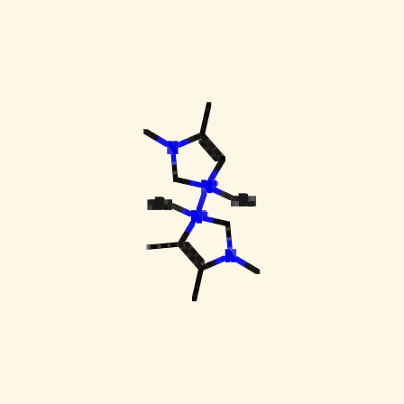 CCCC[N+]1([N+]2(CCCC)CN(C)C(C)=C2C)C=C(C)N(C)C1